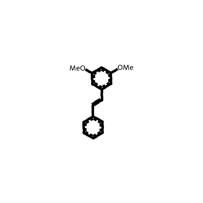 COc1cc(C=Cc2ccccc2)cc(OC)c1